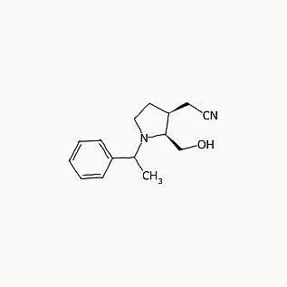 CC(c1ccccc1)N1CC[C@@H](CC#N)[C@H]1CO